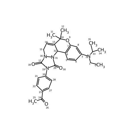 CCN(c1ccc2c(c1)OC(C)(C)C1=CCn3c(=O)n(-c4ccc(C(C)=O)cc4)c(=O)n3C12)C(C)C